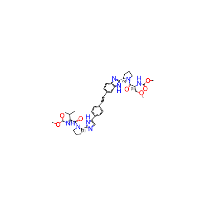 COC[C@H](NC(=O)OC)C(=O)N1CCC[C@H]1c1nc2ccc(C#Cc3ccc(-c4cnc([C@@H]5CCCN5C(=O)[C@@H](NC(=O)OC)C(C)C)[nH]4)cc3)cc2[nH]1